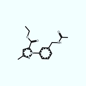 CCOC(=O)c1cc(C)nn1-c1cccc(CNC(C)=O)c1